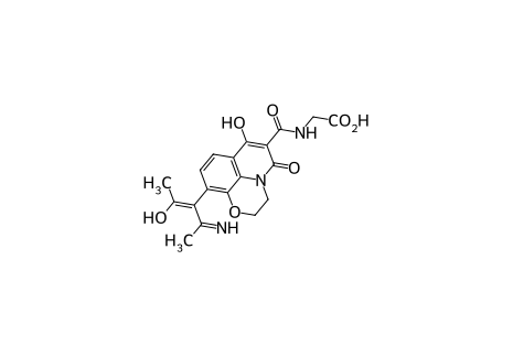 CC(=N)/C(=C(/C)O)c1ccc2c(O)c(C(=O)NCC(=O)O)c(=O)n3c2c1OCC3